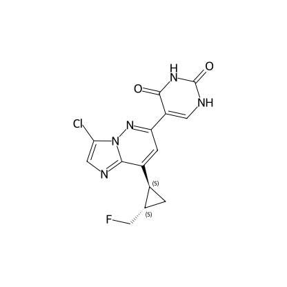 O=c1[nH]cc(-c2cc([C@H]3C[C@@H]3CF)c3ncc(Cl)n3n2)c(=O)[nH]1